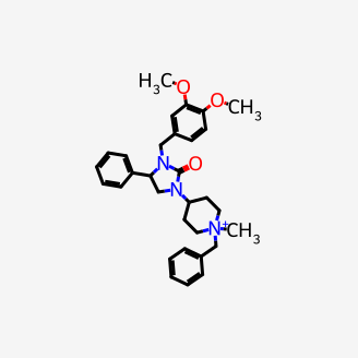 COc1ccc(CN2C(=O)N(C3CC[N+](C)(Cc4ccccc4)CC3)CC2c2ccccc2)cc1OC